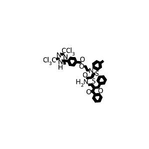 CC(S/C(C(N)=O)=C1\Sc2cc(C)ccc2N1CCOC(=O)c1ccc(C2(C)N=C(C(Cl)(Cl)Cl)N=C(C(Cl)(Cl)Cl)N2)cc1)=C(C(=O)c1ccccc1)C(=O)c1ccccc1